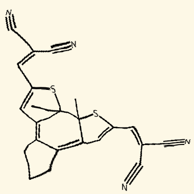 CC12SC(C=C(C#N)C#N)=CC1=C1CCCC1=C1C=C(C=C(C#N)C#N)SC12C